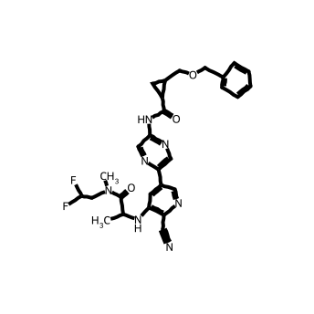 CC(Nc1cc(-c2cnc(NC(=O)C3CC3COCc3ccccc3)cn2)cnc1C#N)C(=O)N(C)CC(F)F